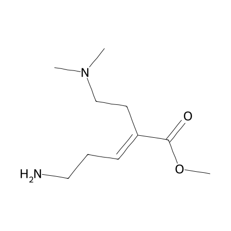 COC(=O)C(=CCCN)CCN(C)C